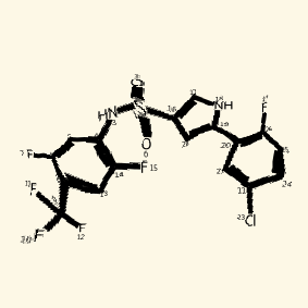 O=S(=O)(Nc1cc(F)c(C(F)(F)F)cc1F)c1c[nH]c(-c2cc(Cl)ccc2F)c1